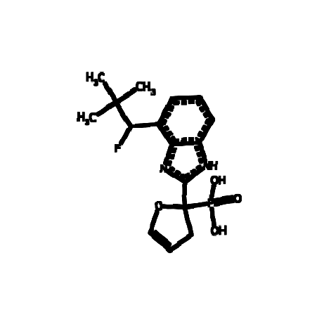 CC(C)(C)C(F)c1cccc2[nH]c(C3(P(=O)(O)O)CC=CO3)nc12